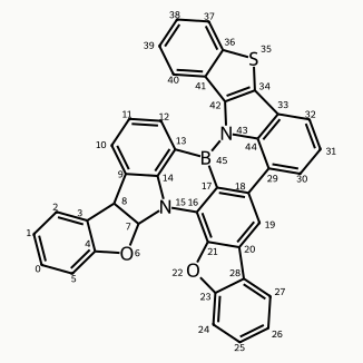 c1ccc2c(c1)OC1C2c2cccc3c2N1c1c2c(cc4c1oc1ccccc14)-c1cccc4c5sc6ccccc6c5n(c14)B32